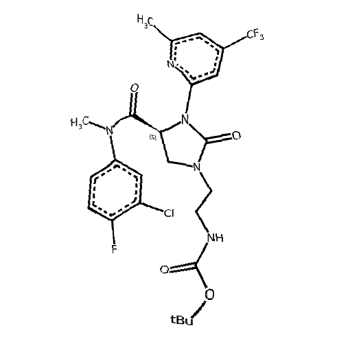 Cc1cc(C(F)(F)F)cc(N2C(=O)N(CCNC(=O)OC(C)(C)C)C[C@H]2C(=O)N(C)c2ccc(F)c(Cl)c2)n1